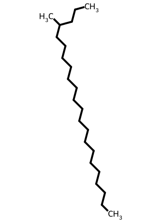 CCCCCCCCCCCCCCCCCCC(C)CCC